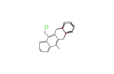 Cc1c2c(c(CCl)c3ccccc13)C1c3ccccc3C2c2ccccc21